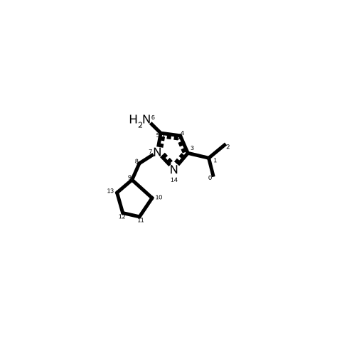 CC(C)c1cc(N)n(CC2CCCC2)n1